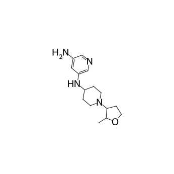 CC1OCCC1N1CCC(Nc2cncc(N)c2)CC1